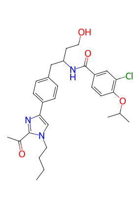 CCCCn1cc(-c2ccc(CC(CCO)NC(=O)c3ccc(OC(C)C)c(Cl)c3)cc2)nc1C(C)=O